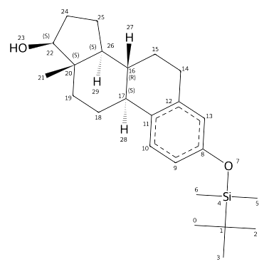 CC(C)(C)[Si](C)(C)Oc1ccc2c(c1)CC[C@@H]1[C@@H]2CC[C@]2(C)[C@@H](O)CC[C@@H]12